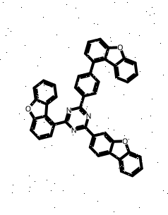 c1ccc2c(c1)oc1cc(-c3nc(-c4ccc(-c5cccc6oc7ccccc7c56)cc4)nc(-c4cccc5oc6ccccc6c45)n3)ccc12